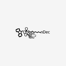 CCCCCCCCCCCCCCCCCCN(C(=O)OCC1c2ccccc2-c2ccccc21)C(=O)[C@@H](N)[C@@H](C)CC